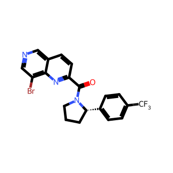 O=C(c1ccc2cncc(Br)c2n1)N1CCC[C@H]1c1ccc(C(F)(F)F)cc1